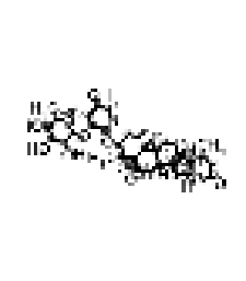 C[C@@H]1CC(=O)O[C@H]2C[C@@]3(C)[C@@H]4CC(=O)[C@H]5C(C)(C)[C@@H](O[C@@H]6OC[C@@H](O)[C@H](O)[C@H]6O[C@@H]6O[C@@H](C)[C@H](O)[C@@H](O)[C@H]6O)CC[C@@]56C[C@@]46CC[C@]3(C)[C@@H]12